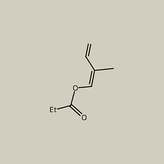 C=CC(C)=COC(=O)CC